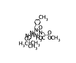 COC(=O)[C@@H](C)Cn1c(=O)[nH]/c(=N\c2cc(C(C)(C)C)on2)n(Cc2ccc(C)cc2)c1=O